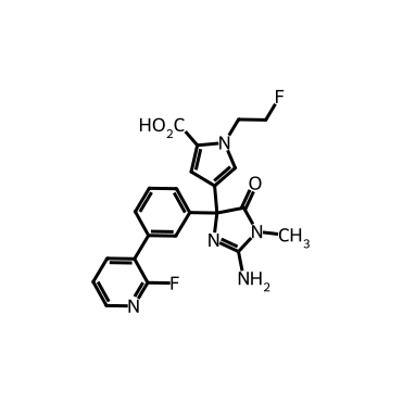 CN1C(=O)C(c2cccc(-c3cccnc3F)c2)(c2cc(C(=O)O)n(CCF)c2)N=C1N